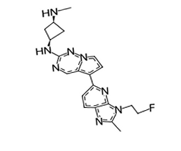 CN[C@H]1C[C@@H](Nc2ncc3c(-c4ccc5nc(C)n(CCF)c5n4)ccn3n2)C1